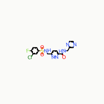 O=C(NCc1cnccn1)c1ccc(CNS(=O)(=O)c2ccc(F)c(Cl)c2)nn1